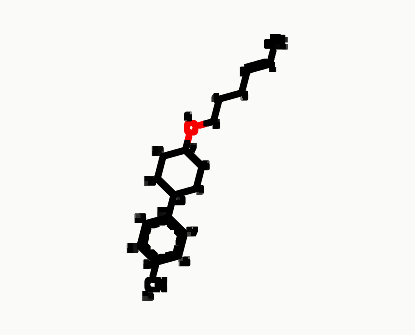 CC/C=C/CCCOC1CCC(c2ccc(C#N)cc2)CC1